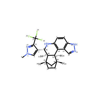 Cn1cc([C@@H]2Nc3ccc4[nH]ncc4c3[C@H]3[C@@H]4CC[C@@H](C4)[C@H]32)c(C(F)(F)F)n1